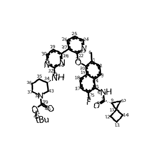 Cc1ccc2c(NC(=O)[C@@H]3CC34CCC4)c(F)ccc2c1Oc1ncccc1-c1ccnc(N[C@H]2CCCN(C(=O)OC(C)(C)C)C2)n1